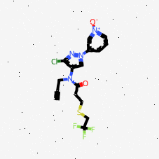 C#CCN(C(=O)CCSCC(F)(F)F)c1cn(-c2ccc[n+]([O-])c2)nc1Cl